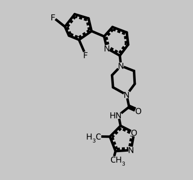 Cc1noc(NC(=O)N2CCN(c3cccc(-c4ccc(F)cc4F)n3)CC2)c1C